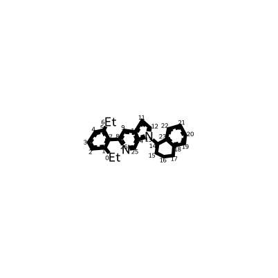 CCc1cccc(CC)c1-c1cc2ccn(C3CCCc4ccccc43)c2cn1